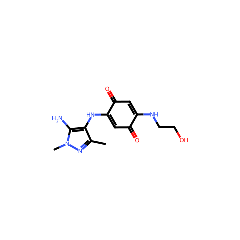 Cc1nn(C)c(N)c1NC1=CC(=O)C(NCCO)=CC1=O